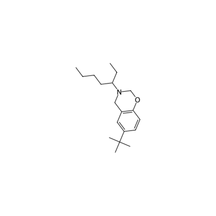 CCCCC(CC)N1COc2ccc(C(C)(C)C)cc2C1